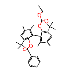 CCOC(=O)Oc1c(C(C)(C)C)cc(C)c(C)c1-c1c(C)c(C)cc(C(C)(C)C)c1OC(=O)c1ccccc1